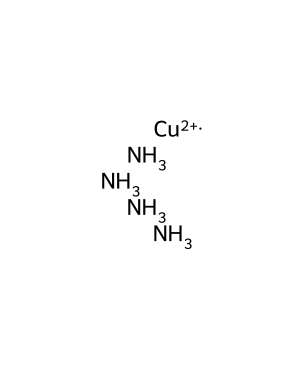 N.N.N.N.[Cu+2]